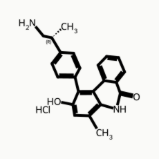 Cc1cc(O)c(-c2ccc([C@@H](C)CN)cc2)c2c1[nH]c(=O)c1ccccc12.Cl